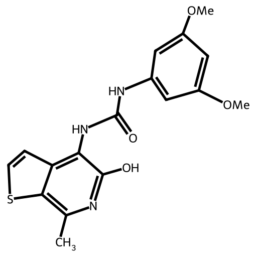 COc1cc(NC(=O)Nc2c(O)nc(C)c3sccc23)cc(OC)c1